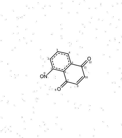 O=Nc1cccc2c1C(=O)C=CC2=O